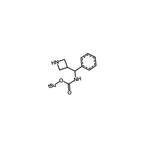 CC(C)(C)OC(=O)NC(c1ccccc1)C1CNC1